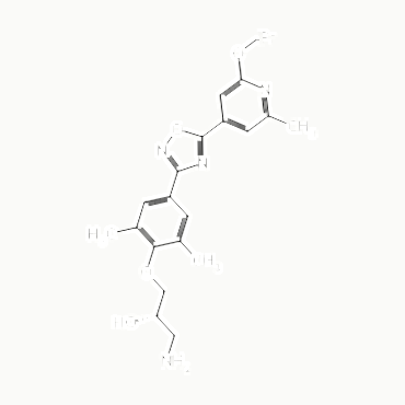 Cc1cc(-c2nc(-c3cc(C)c(OC[C@@H](O)CN)c(C)c3)no2)cc(OC(C)C)n1